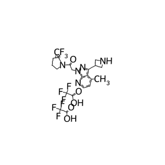 Cc1ccnc2c1c(C1CNC1)nn2CC(=O)N1CCC[C@H]1C(F)(F)F.O=C(O)C(F)(F)F.O=C(O)C(F)(F)F